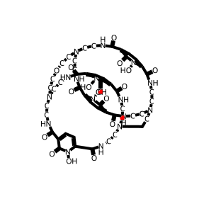 O=C1NCCN2CCNC(=O)c3ccc(c(=O)n3O)C(=O)NCCN(CCNC(=O)c3ccc1c(=O)n3O)CCOCCN1CCNC(=O)c3ccc(n(O)c3=O)C(=O)NCCN(CCNC(=O)c3ccc(n(O)c3=O)C(=O)NCC1)CC2